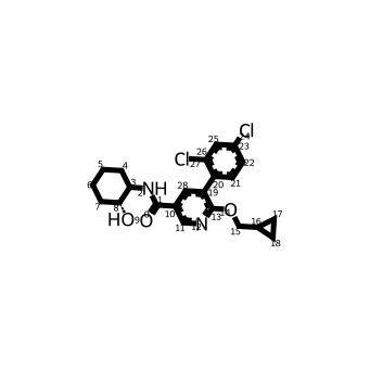 O=C(NC1CCCC[C@H]1O)c1cnc(OCC2CC2)c(-c2ccc(Cl)cc2Cl)c1